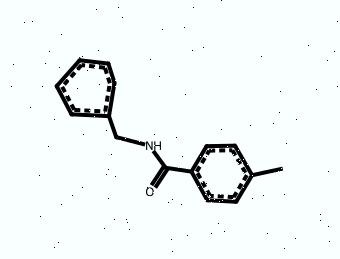 Cc1ccc(C(=O)NCc2cc[c]cc2)cc1